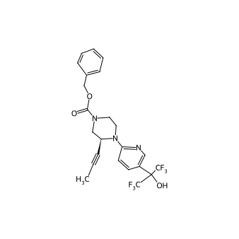 CC#C[C@H]1CN(C(=O)OCc2ccccc2)CCN1c1ccc(C(O)(C(F)(F)F)C(F)(F)F)cn1